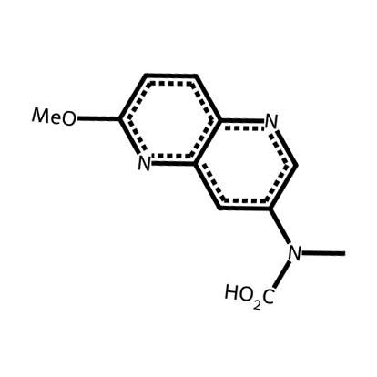 COc1ccc2ncc(N(C)C(=O)O)cc2n1